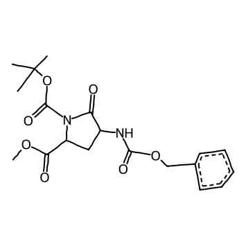 COC(=O)C1CC(NC(=O)OCc2ccccc2)C(=O)N1C(=O)OC(C)(C)C